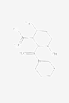 C=C(C#N)C1C(C)CCC(C)C1C(=C)N1CCCCC1